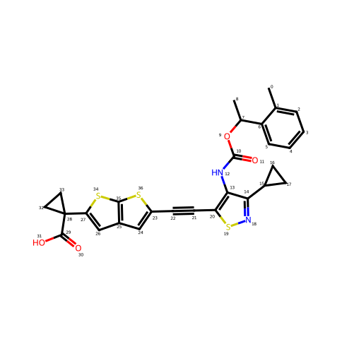 Cc1ccccc1C(C)OC(=O)Nc1c(C2CC2)nsc1C#Cc1cc2cc(C3(C(=O)O)CC3)sc2s1